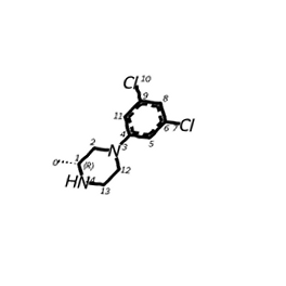 C[C@@H]1CN(c2cc(Cl)cc(Cl)c2)CCN1